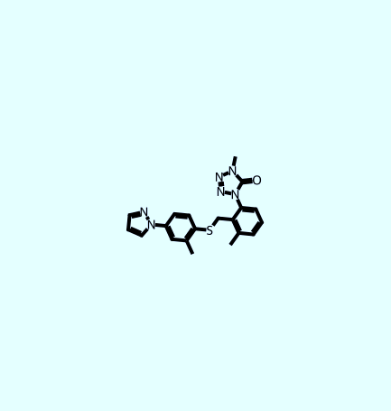 Cc1cc(-n2cccn2)ccc1SCc1c(C)cccc1-n1nnn(C)c1=O